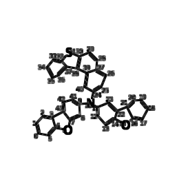 c1ccc2c(c1)oc1cc(N(c3ccc4oc5ccccc5c4c3)c3ccc4ccc5sc6ccccc6c5c4c3)ccc12